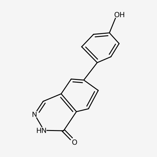 O=c1[nH]ncc2cc(-c3ccc(O)cc3)ccc12